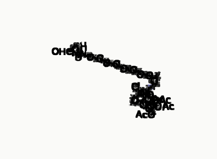 CC(=O)OC[C@H]1O[C@@H](Oc2cc3c(c4ccccc24)[C@H](CCl)CN3C(=O)/C=C/c2ccc(C)c(OCCOCCOCCOCCOCCOCCOCCOCCNC(=O)c3cccc(C=O)n3)c2)[C@H](OC(C)=O)[C@@H](OC(C)=O)[C@H]1OC(C)=O